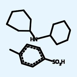 C1CCC(NC2CCCCC2)CC1.Cc1ccc(S(=O)(=O)O)cc1